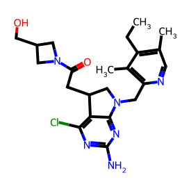 CCc1c(C)cnc(CN2CC(CC(=O)N3CC(CO)C3)c3c(Cl)nc(N)nc32)c1C